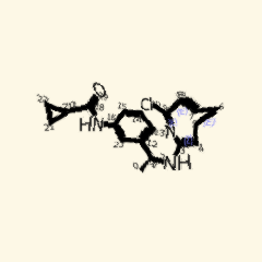 C[C@H](NC1=C/C=C/C=C/C(Cl)=N\1)c1cccc(NC(=O)C2CC2)c1